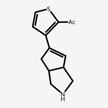 CC(=O)c1sccc1C1=CC2CNCC2C1